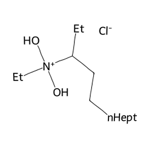 CCCCCCCCCC(CC)[N+](O)(O)CC.[Cl-]